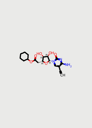 C#Cc1cn([C@@H]2O[C@H](CC(=O)OC3CCCCC3)[C@@H](O)[C@H]2O)c(=O)nc1N